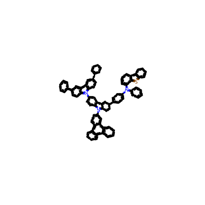 c1ccc(-c2ccc3c(c2)c2cc(-c4ccccc4)ccc2n3-c2ccc3c(c2)c2cc(-c4ccc(N(c5ccccc5)c5cccc6c5sc5ccccc56)cc4)ccc2n3-c2ccc3c4ccccc4c4ccccc4c3c2)cc1